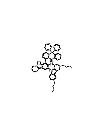 CCCCc1ccc2c(c1)c1cc(CCCC)cc3c1n2-c1cc2c(oc4ccccc42)c2c1B3N1c3ccccc3C(c3ccccc3)(c3ccccc3)c3cccc-2c31